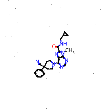 Cn1c(C(=O)NCC2CC2)nc2c(N3CCC(C#N)(c4ccccc4)CC3)ncnc21